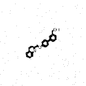 OCc1cccc(-c2ccc(OCc3ccc4ccccc4n3)cc2)c1